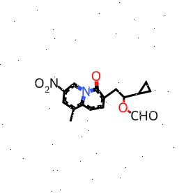 Cc1cc([N+](=O)[O-])cn2c(=O)c(CC(OC=O)C3CC3)ccc12